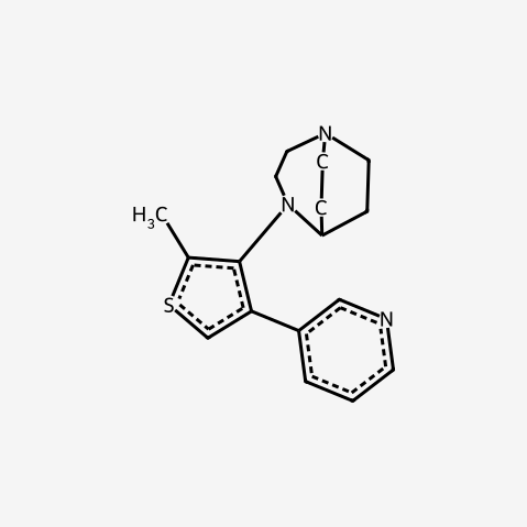 Cc1scc(-c2cccnc2)c1N1CCN2CCC1CC2